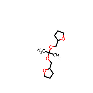 CC(C)(OCC1CCCO1)OCC1CCCO1